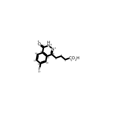 O=C(O)CCCc1n[nH]c(=O)c2ccc(F)cc12